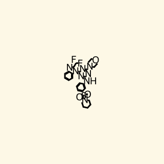 O=S(=O)(c1cccc(Nc2nc(N3CCOCC3)nc(-n3c(C(F)F)nc4ccccc43)n2)c1)N1CCCCC1